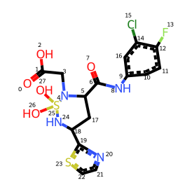 O=C(O)CN1C(C(=O)Nc2ccc(F)c(Cl)c2)CC(c2nccs2)NS1(O)O